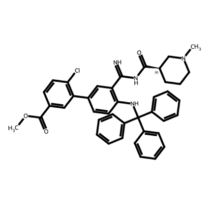 COC(=O)c1ccc(Cl)c(-c2ccc(NC(c3ccccc3)(c3ccccc3)c3ccccc3)c(C(=N)NC(=O)[C@@H]3CCCN(C)C3)c2)c1